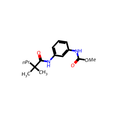 CCCC(C)(C)C(=O)Nc1cccc(NC(=O)OC)c1